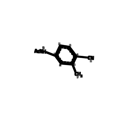 CC(=O)Nc1ccc(C#N)c(C)c1